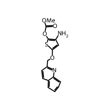 COC(=O)Oc1sc(OCc2ccc3ccccc3n2)cc1N